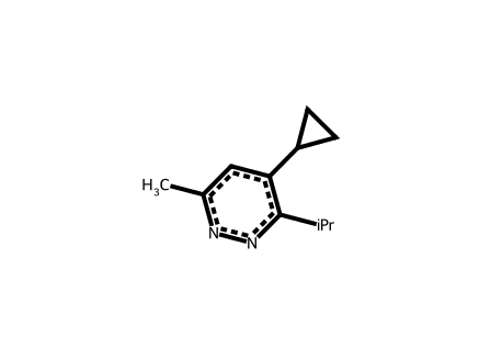 Cc1cc(C2CC2)c(C(C)C)nn1